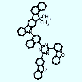 CC1(C)c2cc3c(cc2-c2ccc4ccccc4c21)c1ccccc1n3-c1ccc(-c2nc(-c3ccc4c(c3)oc3ccccc34)nc(-c3cccc4oc5ccccc5c34)n2)c2ccccc12